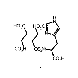 N[C@@H](Cc1c[nH]cn1)C(=O)O.O=C(O)CCC(=O)O.O=C(O)CCC(=O)O